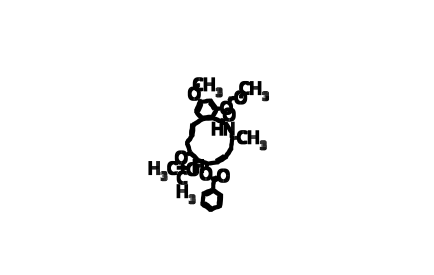 COCOc1cc(OC)cc2c1C(=O)N[C@@H](C)C/C=C\C(OC(=O)c1ccccc1)[C@H]1OC(C)(C)OC1C/C=C/2